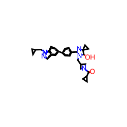 O=C(C1CC1)N1CC(CN2C(c3ccc(-c4ccc5c(cnn5CC5CC5)c4)cc3)=NC3(CC3)C2O)C1